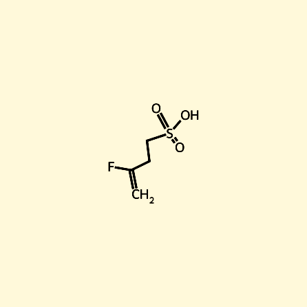 C=C(F)CCS(=O)(=O)O